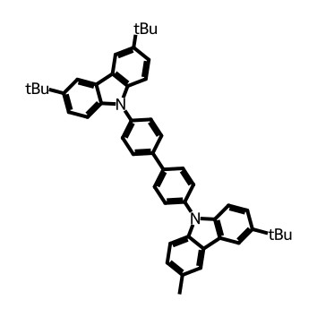 Cc1ccc2c(c1)c1cc(C(C)(C)C)ccc1n2-c1ccc(-c2ccc(-n3c4ccc(C(C)(C)C)cc4c4cc(C(C)(C)C)ccc43)cc2)cc1